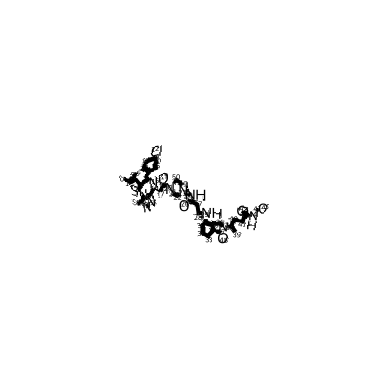 Cc1sc2c(c1C)C(c1ccc(Cl)cc1)=N[C@@H](CC(=O)N1CCN(NC(=O)CCNc3cccc4c3CN(C(C)CCC(=O)NC=O)C4=O)CC1)c1nnc(C)n1-2